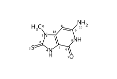 Cn1c(=S)[nH]c2c(=O)[nH]c(N)cc21